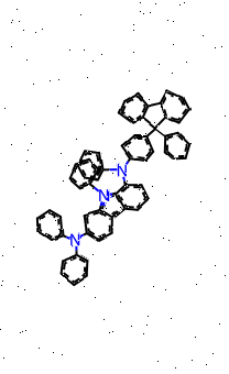 c1ccc(N(c2ccccc2)c2ccc3c4cccc(N(c5ccccc5)c5ccc(C6(c7ccccc7)c7ccccc7-c7ccccc76)cc5)c4n(-c4ccccc4)c3c2)cc1